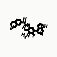 CN1CCc2ccc(Nc3ncc4c(N)c(F)c(-c5cncc6[nH]ccc56)cc4n3)cc2C1